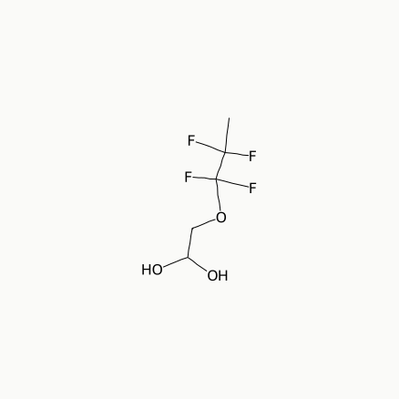 CC(F)(F)C(F)(F)OCC(O)O